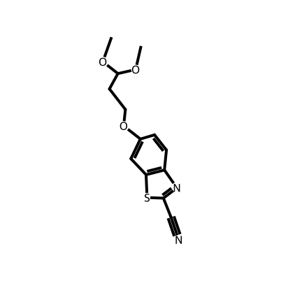 COC(CCOc1ccc2nc(C#N)sc2c1)OC